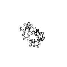 O=C(NCc1ccc(Br)cc1)C1CCCN(c2ncnc3nn(-c4ccc(C(F)(F)F)cc4)cc23)C1